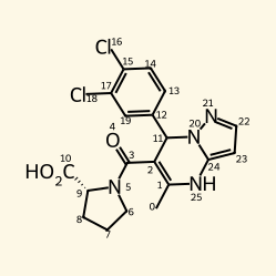 CC1=C(C(=O)N2CCC[C@@H]2C(=O)O)C(c2ccc(Cl)c(Cl)c2)n2nccc2N1